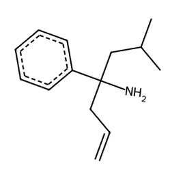 C=CCC(N)(CC(C)C)c1ccccc1